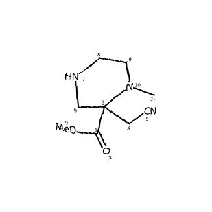 COC(=O)C1(CC#N)CNCCN1C